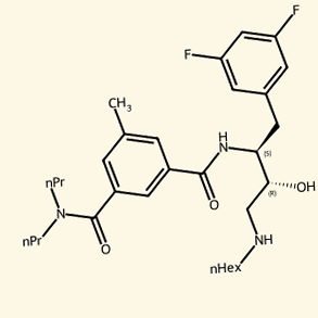 CCCCCCNC[C@@H](O)[C@H](Cc1cc(F)cc(F)c1)NC(=O)c1cc(C)cc(C(=O)N(CCC)CCC)c1